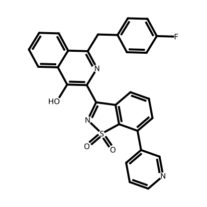 O=S1(=O)N=C(c2nc(Cc3ccc(F)cc3)c3ccccc3c2O)c2cccc(-c3cccnc3)c21